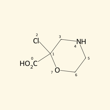 O=C(O)C1(Cl)CNCCO1